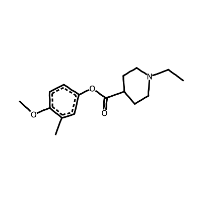 CCN1CCC(C(=O)Oc2ccc(OC)c(C)c2)CC1